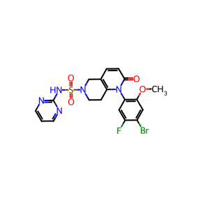 COc1cc(Br)c(F)cc1-n1c2c(ccc1=O)CN(S(=O)(=O)Nc1ncccn1)CC2